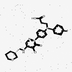 O=C(O)CCN(c1ccc(F)cc1)c1ccc(-n2ncc(NC[C@H]3CCCOC3)c(Cl)c2=O)cc1